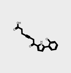 O=C(O)CCC#CCC(=O)c1ccc(-c2ccccc2Cl)[nH]1